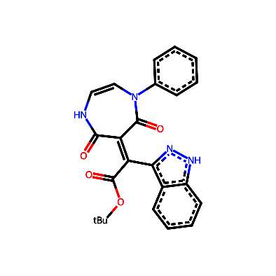 CC(C)(C)OC(=O)C(=C1C(=O)NC=CN(c2ccccc2)C1=O)c1n[nH]c2ccccc12